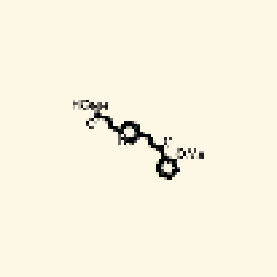 COc1ccccc1C(=O)C=Cc1ccc(C=CC(=O)NO)nc1